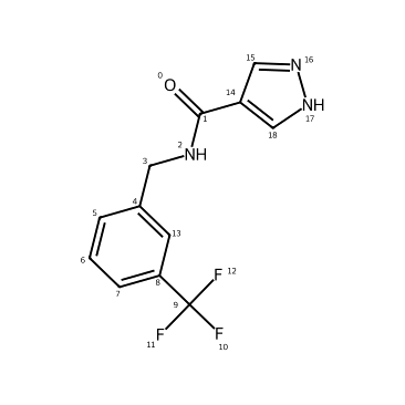 O=C(NCc1cccc(C(F)(F)F)c1)c1cn[nH]c1